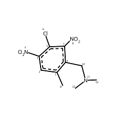 Cc1cc([N+](=O)[O-])c(Cl)c([N+](=O)[O-])c1CN(C)C